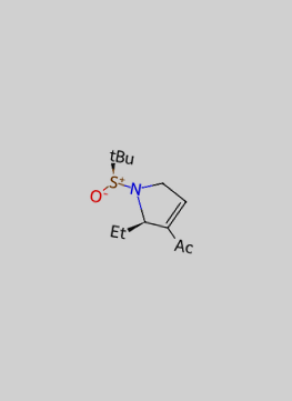 CC[C@@H]1C(C(C)=O)=CCN1[S@@+]([O-])C(C)(C)C